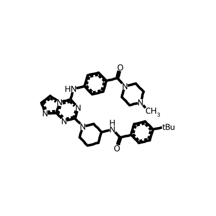 CN1CCN(C(=O)c2ccc(Nc3nc(N4CCCC(NC(=O)c5ccc(C(C)(C)C)cc5)C4)nc4nccn34)cc2)CC1